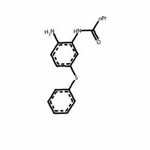 CCCC(=O)Nc1cc(Sc2ccccc2)ccc1N